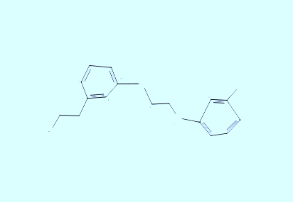 Cc1cccc(OCCOc2cccc(CCC(C)(C)C)c2)c1